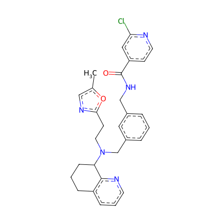 Cc1cnc(CCN(Cc2cccc(CNC(=O)c3ccnc(Cl)c3)c2)C2CCCc3cccnc32)o1